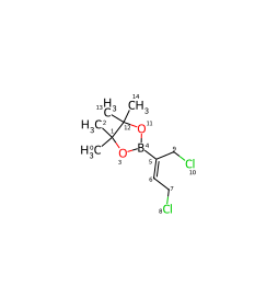 CC1(C)OB(C(=CCCl)CCl)OC1(C)C